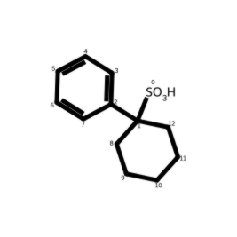 O=S(=O)(O)C1(c2ccccc2)CCCCC1